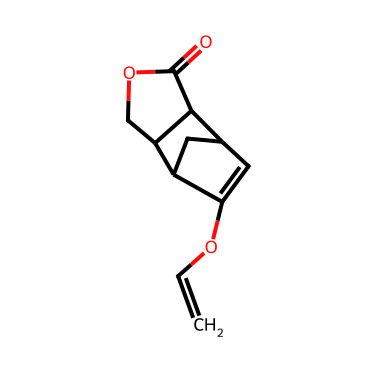 C=COC1=CC2CC1C1COC(=O)C21